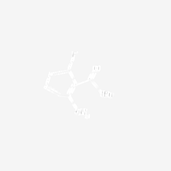 Cc1cccc(F)c1C(=O)C(C)(C)C